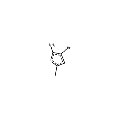 Cc1cc(Br)c(N)s1